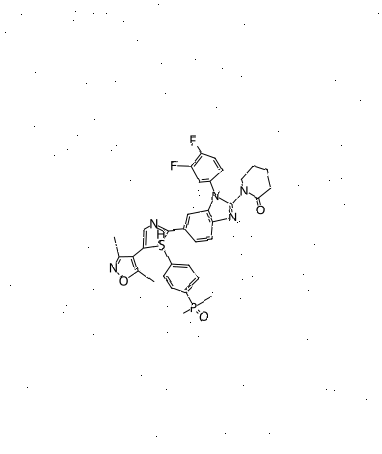 Cc1noc(C)c1C1=CN=C(c2ccc3nc(N4CCCCC4=O)n(-c4ccc(F)c(F)c4)c3c2)[SH]1c1ccc(P(C)(C)=O)cc1